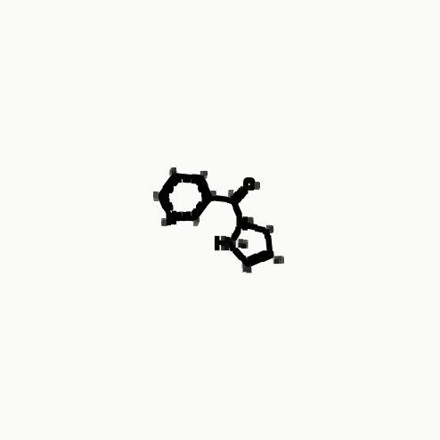 O=C(c1cccnc1)N1CC=CN1